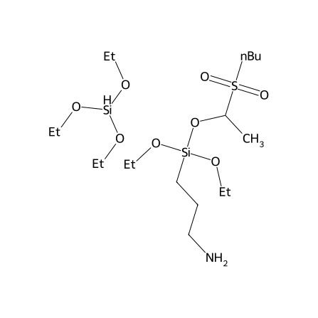 CCCCS(=O)(=O)C(C)O[Si](CCCN)(OCC)OCC.CCO[SiH](OCC)OCC